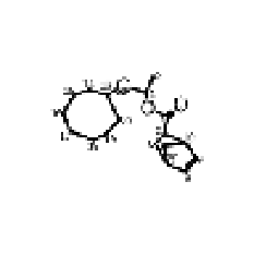 CC(OC(=O)C1CC2C=CC1C2)OC1CCCCCCC1